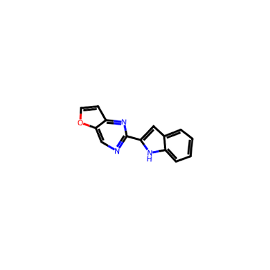 c1ccc2[nH]c(-c3ncc4occc4n3)cc2c1